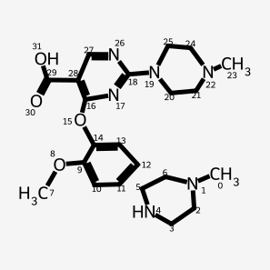 CN1CCNCC1.COc1ccccc1Oc1nc(N2CCN(C)CC2)ncc1C(=O)O